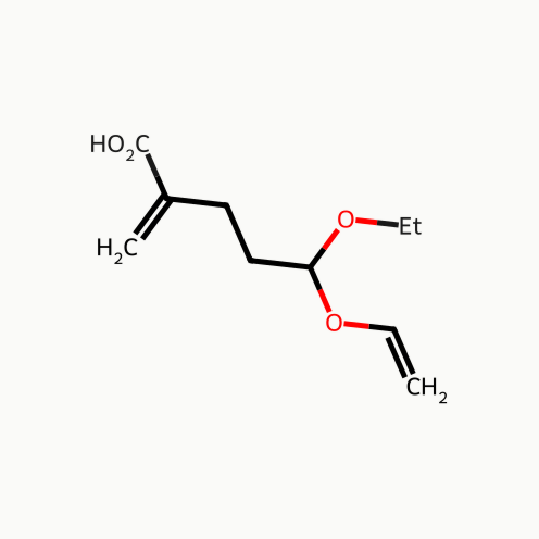 C=COC(CCC(=C)C(=O)O)OCC